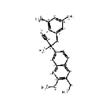 CCc1cc2ccc(C(C)(C#N)Cc3cc(C)cc(N)c3)cc2nc1OC